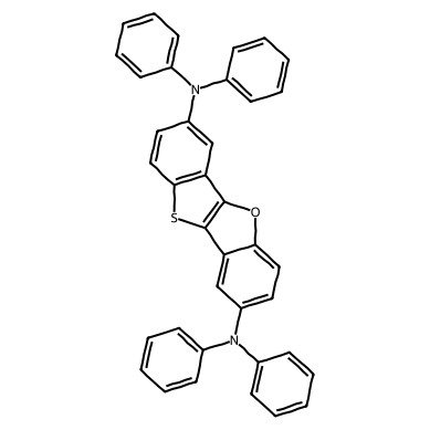 c1ccc(N(c2ccccc2)c2ccc3sc4c5cc(N(c6ccccc6)c6ccccc6)ccc5oc4c3c2)cc1